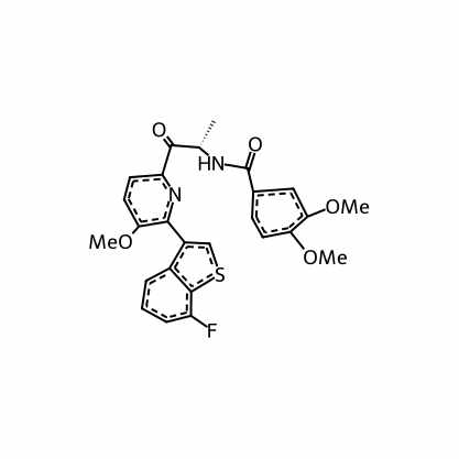 COc1ccc(C(=O)N[C@@H](C)C(=O)c2ccc(OC)c(-c3csc4c(F)cccc34)n2)cc1OC